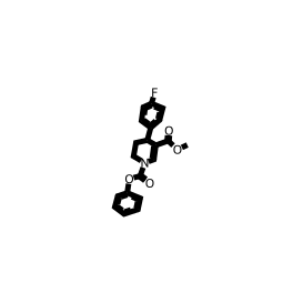 COC(=O)C1=CN(C(=O)Oc2ccccc2)CCC1c1ccc(F)cc1